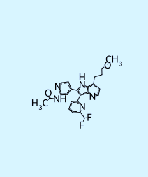 COCCCc1ccnc2c(-c3cccc(C(F)F)n3)c(-c3ccnc(NC(C)=O)c3)[nH]c12